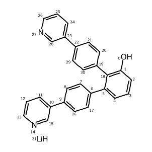 Oc1cccc(-c2ccc(-c3cccnc3)cc2)c1-c1ccc(-c2cccnc2)cc1.[LiH]